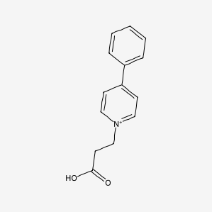 O=C(O)CC[n+]1ccc(-c2ccccc2)cc1